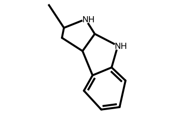 CC1CC2c3ccccc3NC2N1